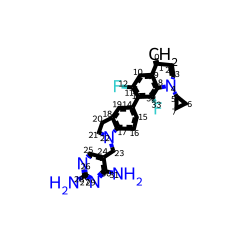 C=C1C=CN(C2CC2)c2c1cc(F)c(-c1ccc3c(c1)CCN3Cc1cnc(N)nc1N)c2F